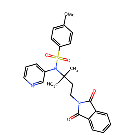 COc1ccc(S(=O)(=O)N(c2cccnc2)C(C)(CCN2C(=O)c3ccccc3C2=O)C(=O)O)cc1